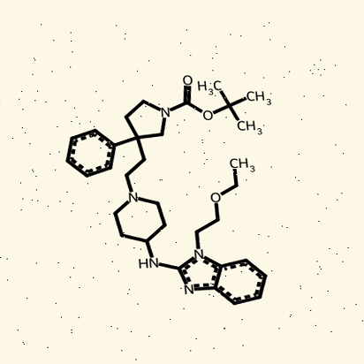 CCOCCn1c(NC2CCN(CCC3(c4ccccc4)CCN(C(=O)OC(C)(C)C)C3)CC2)nc2ccccc21